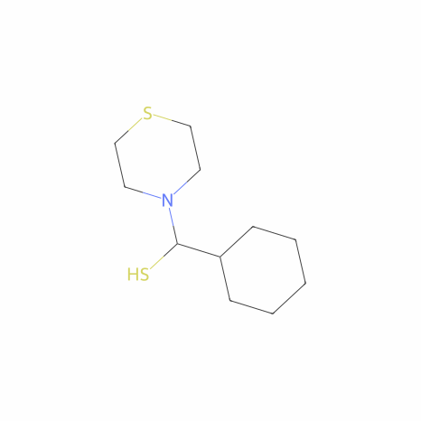 SC(C1CCCCC1)N1CCSCC1